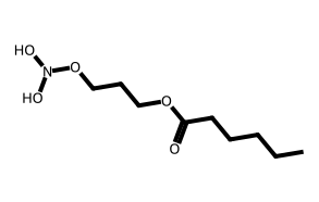 CCCCCC(=O)OCCCON(O)O